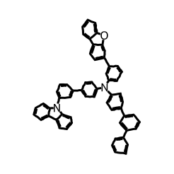 c1ccc(-c2cccc(-c3ccc(N(c4ccc(-c5cccc(-n6c7ccccc7c7ccccc76)c5)cc4)c4cccc(-c5ccc6c(c5)oc5ccccc56)c4)cc3)c2)cc1